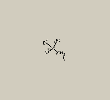 CC[P+](C)(CC)CC.[F-]